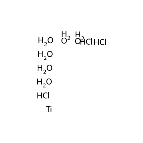 Cl.Cl.Cl.O.O.O.O.O.O.[Ti]